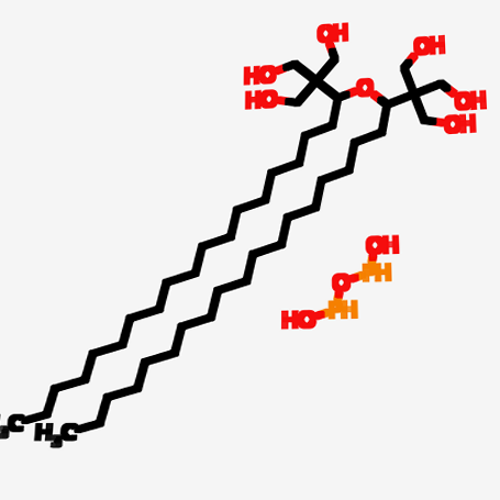 CCCCCCCCCCCCCCCCCCC(OC(CCCCCCCCCCCCCCCCCC)C(CO)(CO)CO)C(CO)(CO)CO.OPOPO